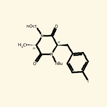 CCCCCCCCN1C(=O)[C@@H](Cc2ccc(I)cc2)N(CCCC)C(=O)[C@@H]1C